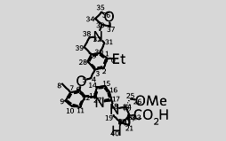 CCc1cc(COc2c(C)cccc2-c2cccc(N3C[C@@H]4C[C@]4(C(=O)O)[C@H]3COC)n2)cc2c1CN(C1CCOC1)CC2